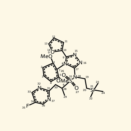 COc1cccc(OC)c1-n1c(-c2ccco2)nnc1N(CC[Si](C)(C)C)S(=O)(=O)C(C)Cc1ncc(F)cn1